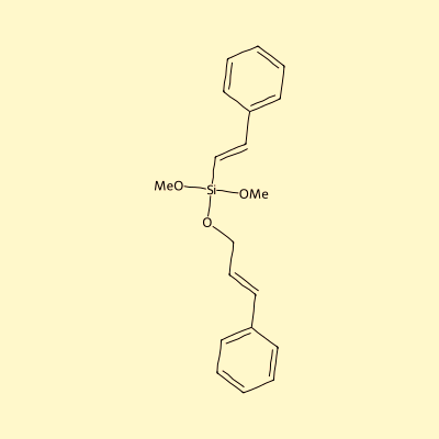 CO[Si](C=Cc1ccccc1)(OC)OCC=Cc1ccccc1